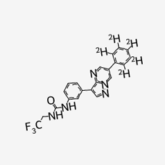 [2H]c1c([2H])c([2H])c(-c2cnc3c(-c4cccc(NC(=O)NCC(F)(F)F)c4)cnn3c2)c([2H])c1[2H]